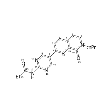 CCCn1ccc2ccc(-c3cnc(NC(=O)CC)nc3)cc2c1=O